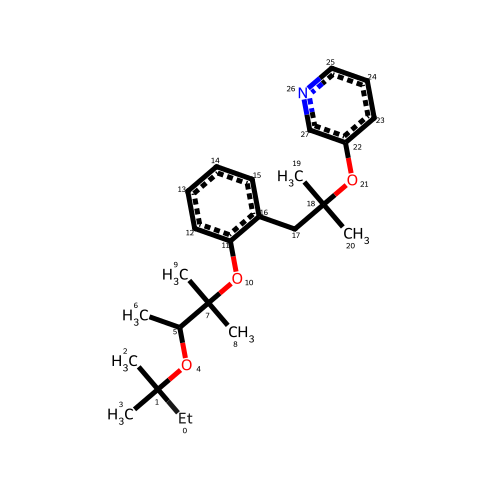 CCC(C)(C)OC(C)C(C)(C)Oc1ccccc1CC(C)(C)Oc1cccnc1